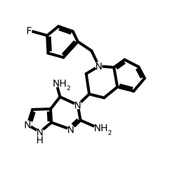 NC1=Nc2[nH]ncc2C(N)N1C1Cc2ccccc2N(Cc2ccc(F)cc2)C1